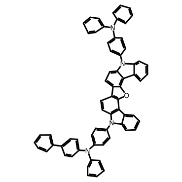 c1ccc(-c2ccc(N(c3ccccc3)c3ccc(-n4c5ccccc5c5c6oc7c(ccc8c7c7ccccc7n8-c7ccc(N(c8ccccc8)c8ccccc8)cc7)c6ccc54)cc3)cc2)cc1